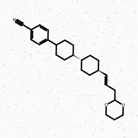 N#Cc1ccc(C2CCC([C@H]3CC[C@H](/C=C/CC4OCCCO4)CC3)CC2)cc1